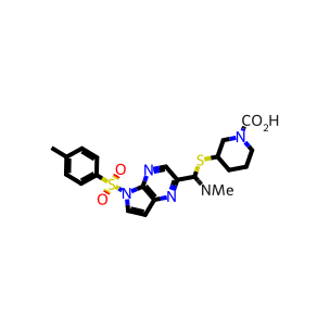 CNC(SC1CCCN(C(=O)O)C1)c1cnc2c(ccn2S(=O)(=O)c2ccc(C)cc2)n1